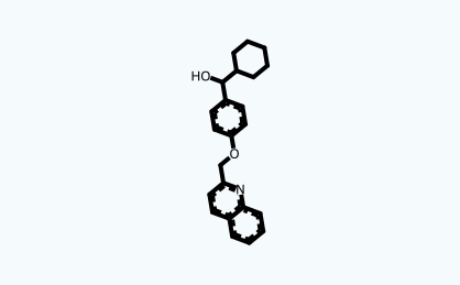 OC(c1ccc(OCc2ccc3ccccc3n2)cc1)C1CCCCC1